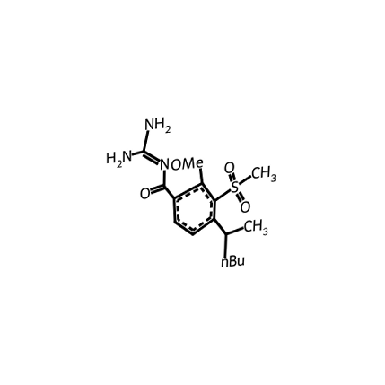 CCCCC(C)c1ccc(C(=O)N=C(N)N)c(OC)c1S(C)(=O)=O